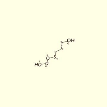 OCCCSOOO